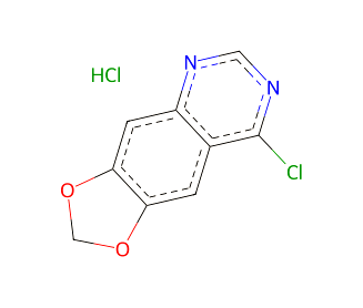 Cl.Clc1ncnc2cc3c(cc12)OCO3